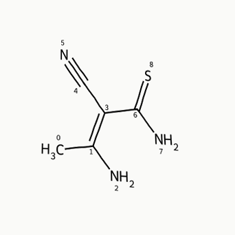 C/C(N)=C(\C#N)C(N)=S